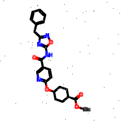 CC(C)(C)OC(=O)[C@H]1CC[C@@H](Oc2ccc(C(=O)Nc3nc(Cc4ccccc4)no3)cn2)CC1